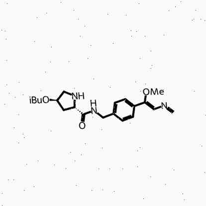 C=N/C=C(\OC)c1ccc(CNC(=O)[C@@H]2C[C@@H](OCC(C)C)CN2)cc1